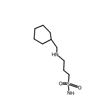 [NH]S(=O)(=O)CCCNCC1CCCCC1